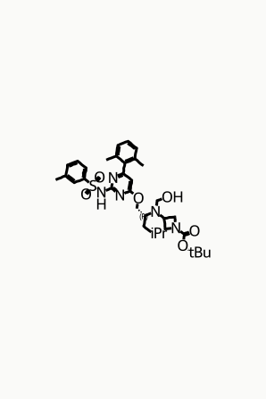 Cc1cccc(S(=O)(=O)Nc2nc(OC[C@@H](CC(C)C)N(CO)C3CN(C(=O)OC(C)(C)C)C3)cc(-c3c(C)cccc3C)n2)c1